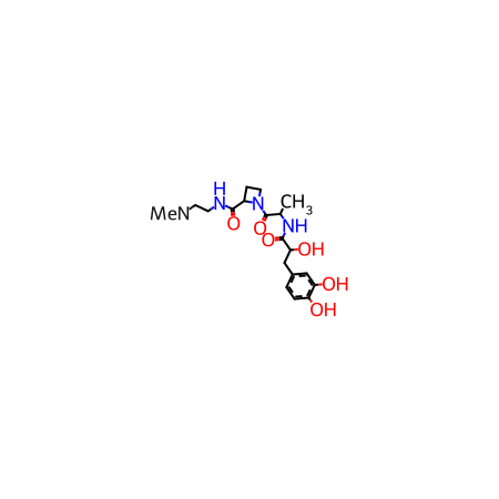 CNCCNC(=O)C1CCN1C(=O)C(C)NC(=O)C(O)Cc1ccc(O)c(O)c1